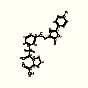 Cc1oc(-c2ccc(F)cc2)nc1COc1cccc(C(C)(C)C(=O)N2CCCC2C(=O)O)c1